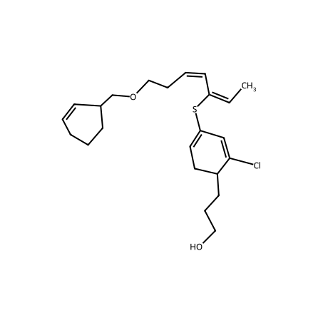 C/C=C(\C=C/CCOCC1C=CCCC1)SC1=CCC(CCCO)C(Cl)=C1